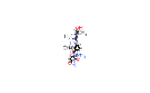 C=C/C(=C\C=C(/C)CO)CNc1cccc(C(=O)N(N)C2CCC(=O)NC2=O)c1C=O